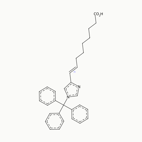 O=C(O)CCCCCC/C=C/c1cn(C(c2ccccc2)(c2ccccc2)c2ccccc2)cn1